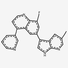 Cc1cnc2[nH]cc(-c3cc(F)c4nccc(-c5cccnc5)c4c3)c2c1